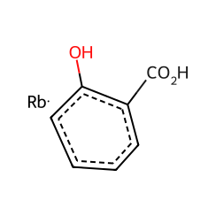 O=C(O)c1ccccc1O.[Rb]